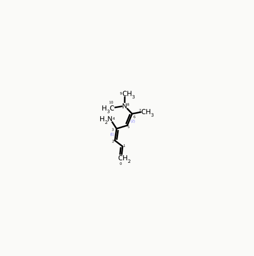 C=C/C=C(N)\C=C(\C)N(C)C